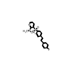 CN(C)c1ncccc1S(=O)(=O)c1ccc(C=Cc2ccc(F)cc2)cc1